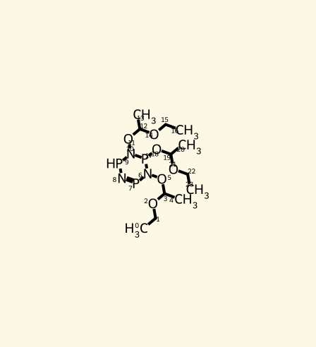 CCOC(C)On1pn[pH]n(OC(C)OCC)p1OC(C)OCC